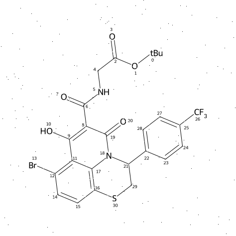 CC(C)(C)OC(=O)CNC(=O)c1c(O)c2c(Br)ccc3c2n(c1=O)C(c1ccc(C(F)(F)F)cc1)CS3